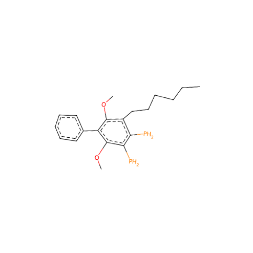 CCCCCCc1c(P)c(P)c(OC)c(-c2ccccc2)c1OC